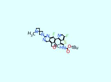 CN1CCC12CN(c1ncc3c4c(c(-c5ncc(F)c6sc(NC(=O)OC(C)(C)C)c(C#N)c56)c(F)c3n1)COC4)C2